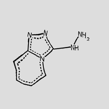 NNc1nnc2ccccn12